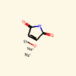 CC[O-].O=C1C=CC(=O)[N-]1.[Na+].[Na+]